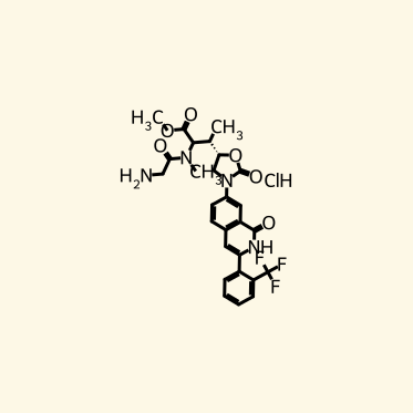 COC(=O)C(C(C)[C@H]1CN(c2ccc3cc(-c4ccccc4C(F)(F)F)[nH]c(=O)c3c2)C(=O)O1)N(C)C(=O)CN.Cl